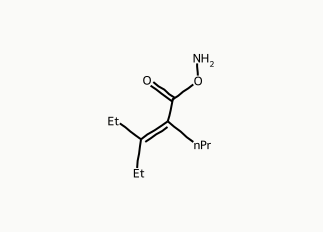 CCCC(C(=O)ON)=C(CC)CC